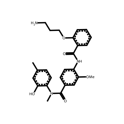 COc1cc(C(=O)N(C)c2ccc(C)cc2O)ccc1NC(=O)c1ccccc1OCCCN